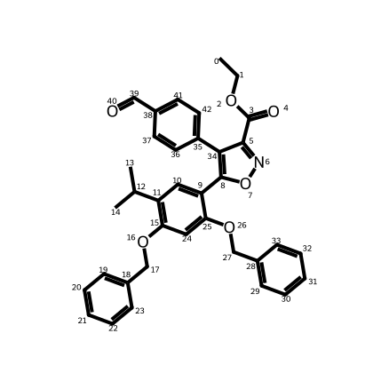 CCOC(=O)c1noc(-c2cc(C(C)C)c(OCc3ccccc3)cc2OCc2ccccc2)c1-c1ccc(C=O)cc1